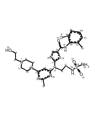 Cc1nc(N2CCN(CCO)CC2)cc(N(CCNS(N)(=O)=O)c2ncc(C(=O)Nc3c(C)cccc3Cl)s2)n1